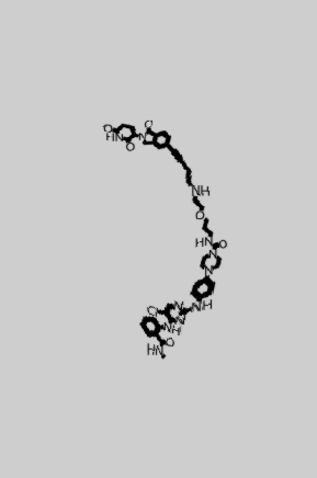 CNC(=O)c1ccccc1Nc1nc(Nc2ccc(N3CCN(C(=O)NCCCOCCNCCC#Cc4ccc5c(c4)CN(C4CCC(=O)NC4=O)C5=O)CC3)cc2)ncc1Cl